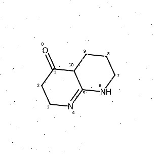 O=C1CCN=C2NCCCC12